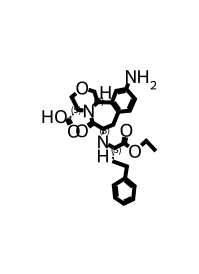 CCOC(=O)[C@H](CCc1ccccc1)N[C@H]1Cc2ccc(N)cc2[C@H]2COC[C@@H](C(=O)O)N2C1=O